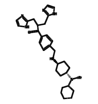 CCCN(C1CCCCC1)[C@H]1CC[C@H](NCc2ccc(C(=O)C(Cc3ncc[nH]3)Cc3ncc[nH]3)cc2)CC1